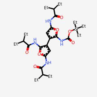 CCC(CC)C(=O)Nc1cc(-c2cc(NC(=O)C(CC)CC)oc2NC(=O)C(CC)CC)c(NC(=O)O[Si](CC)(CC)CC)o1